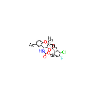 CC(=O)c1ccc2c(c1)C(NC(=O)OC(C)(C)C)C(OC(=O)c1ccc(F)c(Cl)c1)C(C)(C)O2